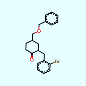 O=C1CCC(COCc2ccccc2)CC1Cc1ccccc1Br